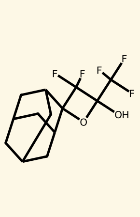 OC1(C(F)(F)F)OC2(C3CC4CC(C3)CC2C4)C1(F)F